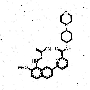 C=C(C#N)CNc1c(OC)ccc2ccc(-c3cccc(C(=O)N[C@H]4CC[C@@H](N5CCOCC5)CC4)n3)cc12